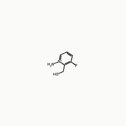 N[n+]1cccc(F)c1CO